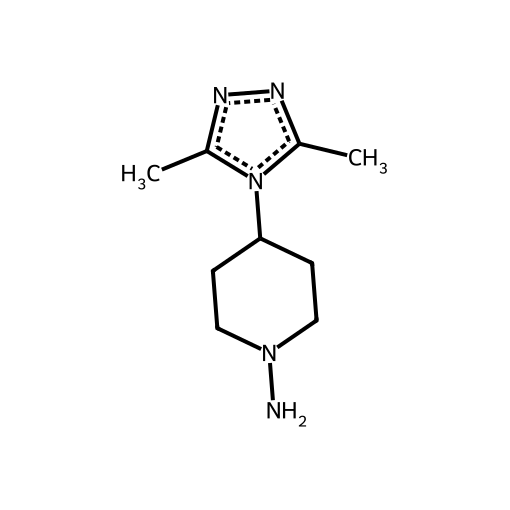 Cc1nnc(C)n1C1CCN(N)CC1